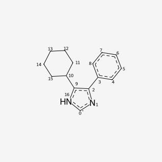 [c]1nc(-c2ccccc2)c(C2CCCCC2)[nH]1